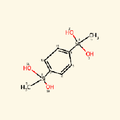 C[Si](O)(O)c1ccc([Si](C)(O)O)cc1